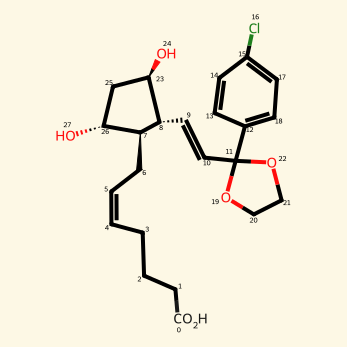 O=C(O)CCC/C=C\C[C@@H]1[C@@H](/C=C/C2(c3ccc(Cl)cc3)OCCO2)[C@H](O)C[C@H]1O